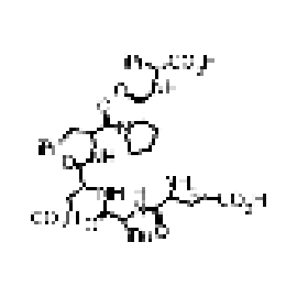 CC[C@H](C)[C@H](NC(=O)[C@@H](N)CCC(=O)O)C(=O)N[C@@H](CC(=O)O)C(=O)N[C@@H](CC(C)C)C(=O)N1CCC[C@H]1C(=O)N[C@H](C(=O)O)C(C)C